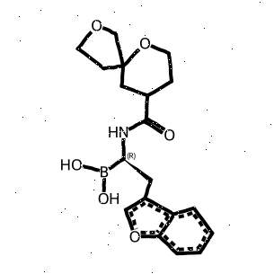 O=C(N[C@@H](Cc1coc2ccccc12)B(O)O)C1CCOC2(CCOC2)C1